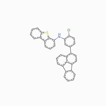 Clc1ccc(-c2ccc3c4c(cccc24)-c2ccccc2-3)cc1Nc1cccc2c1sc1ccccc12